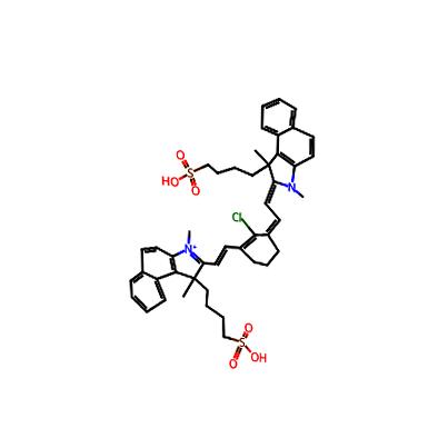 CN1/C(=C\C=C2\CCCC(/C=C/C3=[N+](C)c4ccc5ccccc5c4C3(C)CCCCS(=O)(=O)O)=C2Cl)C(C)(CCCCS(=O)(=O)O)c2c1ccc1ccccc21